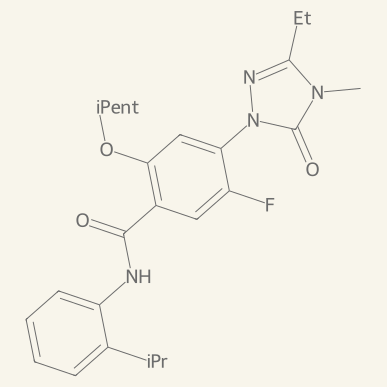 CCCC(C)Oc1cc(-n2nc(CC)n(C)c2=O)c(F)cc1C(=O)Nc1ccccc1C(C)C